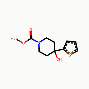 CC(C)(C)OC(=O)N1CCC(O)(c2cccs2)CC1